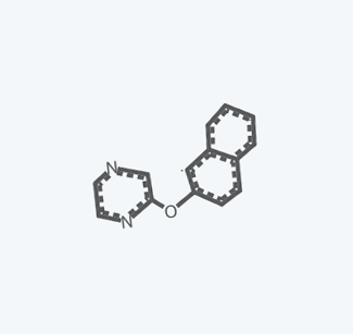 [c]1c(Oc2cnccn2)ccc2ccccc12